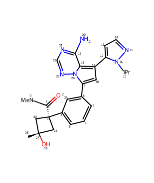 CNC(=O)[C@]1(c2cccc(-c3cc(-c4ccnn4C(C)C)c4c(N)ncnn34)c2)C[C@](C)(O)C1